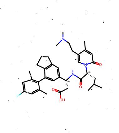 Cc1cc(=O)n([C@H](CC(C)C)C(=O)N[C@H](CC(=O)O)c2cc3c(c(-c4c(C)cc(F)cc4C)c2)CCC3)cc1CCN(C)C